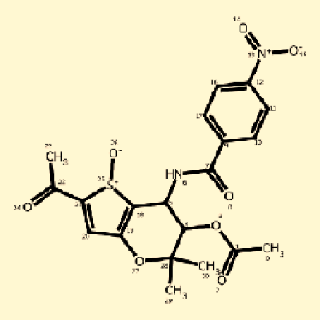 CC(=O)OC1C(NC(=O)c2ccc([N+](=O)[O-])cc2)c2c(cc(C(C)=O)[s+]2[O-])OC1(C)C